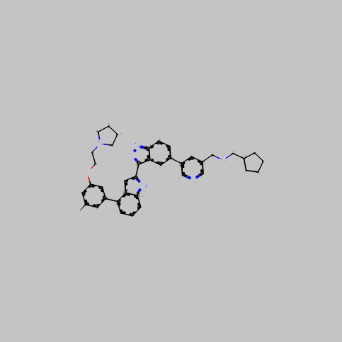 Fc1cc(OCCN2CCCC2)cc(-c2cccc3[nH]c(-c4n[nH]c5ccc(-c6cncc(CNCC7CCCC7)c6)cc45)cc23)c1